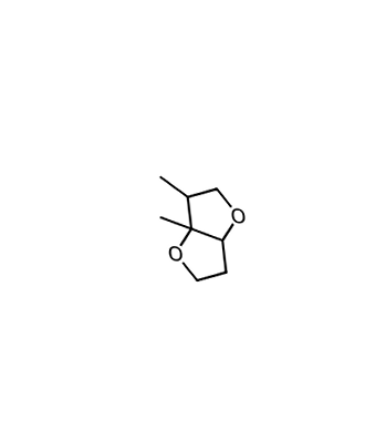 CC1COC2CCOC12C